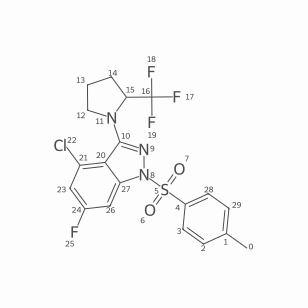 Cc1ccc(S(=O)(=O)n2nc(N3CCCC3C(F)(F)F)c3c(Cl)cc(F)cc32)cc1